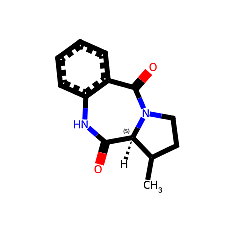 CC1CCN2C(=O)c3ccccc3NC(=O)[C@H]12